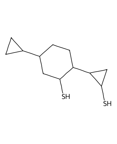 SC1CC(C2CC2)CCC1C1CC1S